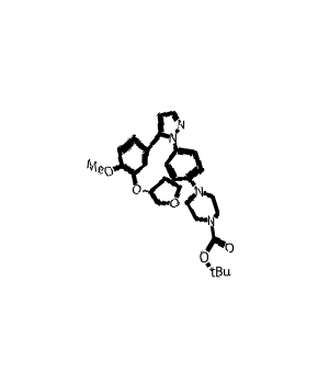 COc1ccc(-c2ccnn2-c2ccc(N3CCN(C(=O)OC(C)(C)C)CC3)cc2)cc1O[C@@H]1CCOC1